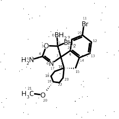 BC1(B)OC(N)=NC12c1cc(Br)ccc1C[C@]21CC[C@@H](OC)CC1